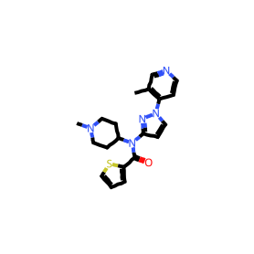 Cc1cnccc1-n1ccc(N(C(=O)c2cccs2)C2CCN(C)CC2)n1